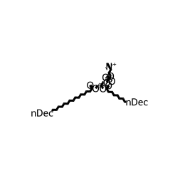 CCCCCCCCCCCCCCCCCCCCCCCCC(=O)OC[C@H](COP(=O)([O-])OCC[N+](C)(C)C)OC(=O)CCCCCCCCCCCCCCCCC